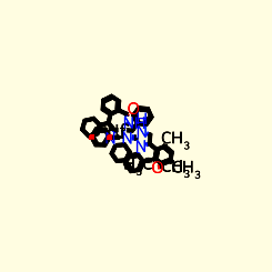 COCc1ccccc1N1C(=[N][Hf]2([CH2]c3ccccc3)([CH2]c3ccccc3)[NH]C(=O)c3ccccc3C(C3CCCCC3)[C]2=NC2CCCCC2)NCC1c1c(C)cc(C)cc1C